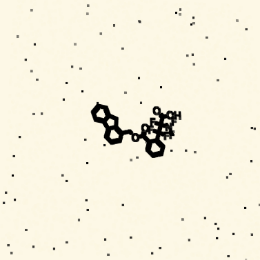 O=C(OCc1cccc2c1Cc1ccccc1-2)c1ccccc1C(F)(F)C(F)(C(=O)O)N(F)F